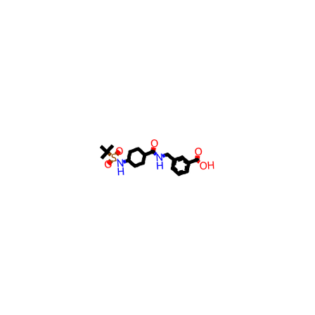 CC(C)(C)S(=O)(=O)NC1CCC(C(=O)NCc2cccc(C(=O)O)c2)CC1